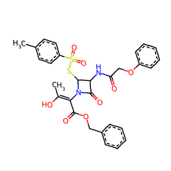 C/C(O)=C(/C(=O)OCc1ccccc1)N1C(=O)C(NC(=O)COc2ccccc2)C1SS(=O)(=O)c1ccc(C)cc1